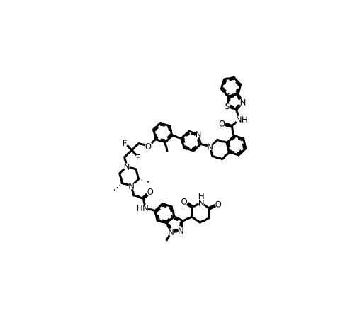 Cc1c(OCC(F)(F)CN2C[C@@H](C)N(CC(=O)Nc3ccc4c(C5CCC(=O)NC5=O)nn(C)c4c3)[C@@H](C)C2)cccc1-c1ccc(N2CCc3cccc(C(=O)Nc4nc5ccccc5s4)c3C2)nc1